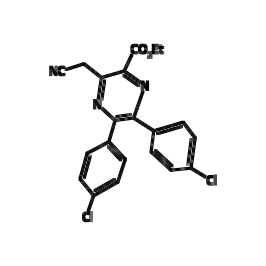 CCOC(=O)c1nc(-c2ccc(Cl)cc2)c(-c2ccc(Cl)cc2)nc1CC#N